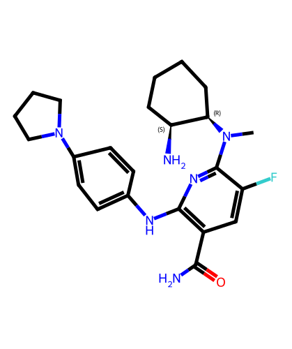 CN(c1nc(Nc2ccc(N3CCCC3)cc2)c(C(N)=O)cc1F)[C@@H]1CCCC[C@@H]1N